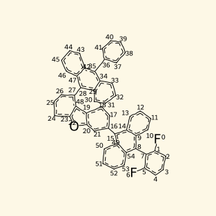 Fc1cccc(F)c1-c1c2ccccc2c(-c2ccc3c(c2)oc2cccc(-c4c5ccccc5c(-c5ccccc5)c5ccccc45)c23)c2ccccc12